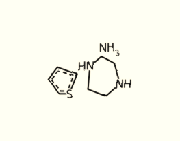 C1CNCCN1.N.c1ccsc1